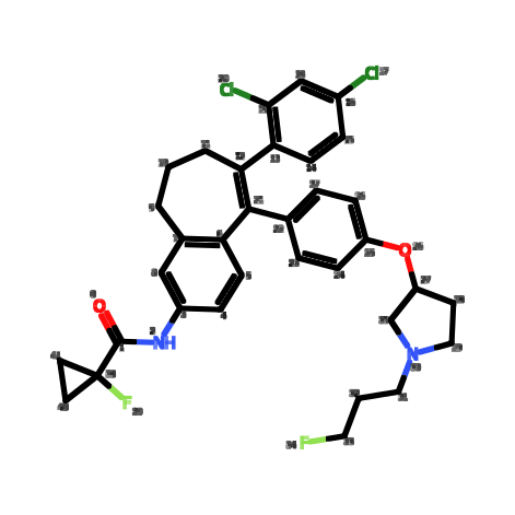 O=C(Nc1ccc2c(c1)CCCC(c1ccc(Cl)cc1Cl)=C2c1ccc(OC2CCN(CCCF)C2)cc1)C1(F)CC1